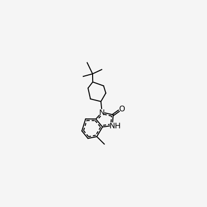 Cc1cccc2c1[nH]c(=O)n2C1CCC(C(C)(C)C)CC1